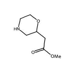 COC(=O)CC1CNCCO1